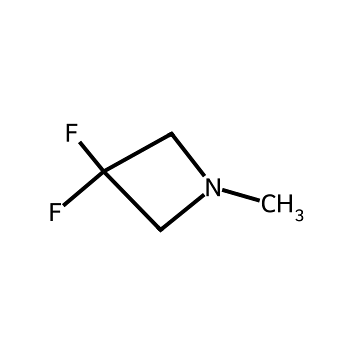 CN1CC(F)(F)C1